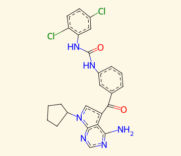 Nc1ncnc2c1c(C(=O)c1cccc(NC(=O)Nc3cc(Cl)ccc3Cl)c1)cn2C1CCCC1